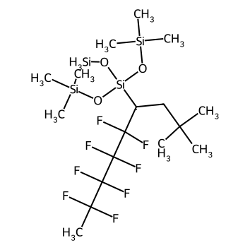 CC(C)(C)C[C](C(F)(F)C(F)(F)C(F)(F)C(C)(F)F)[Si](O[SiH3])(O[Si](C)(C)C)O[Si](C)(C)C